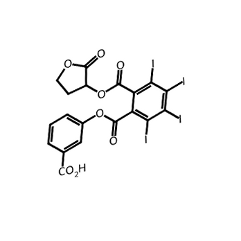 O=C(O)c1cccc(OC(=O)c2c(I)c(I)c(I)c(I)c2C(=O)OC2CCOC2=O)c1